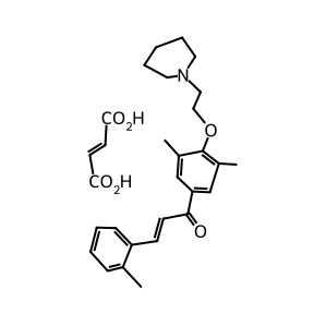 Cc1ccccc1C=CC(=O)c1cc(C)c(OCCN2CCCCC2)c(C)c1.O=C(O)C=CC(=O)O